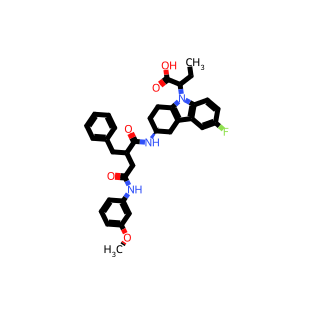 CCC(C(=O)O)n1c2c(c3cc(F)ccc31)C[C@@H](NC(=O)C(CC(=O)Nc1cccc(OC)c1)Cc1ccccc1)CC2